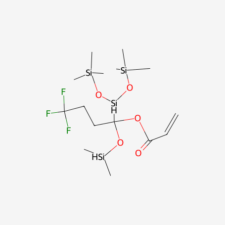 C=CC(=O)OC(CCC(F)(F)F)(O[SiH](C)C)[SiH](O[Si](C)(C)C)O[Si](C)(C)C